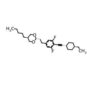 CCCCC[C@H]1CO[C@H](CCc2cc(F)c(C#C[C@H]3CC[C@H](CC)CC3)c(F)c2)OC1